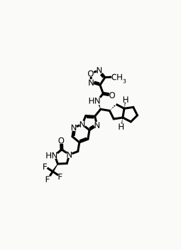 Cc1nonc1C(=O)N[C@@H](c1cn2ncc(CN3C[C@@H](C(F)(F)F)NC3=O)cc2n1)[C@@H]1C[C@H]2CCC[C@H]2C1